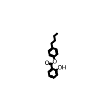 CCCCc1ccc(OC(=O)c2ccccc2O)cc1